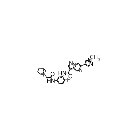 Cn1cc(-c2cn3ncc(C(=O)Nc4cc(NC(=O)CN5CC6CCC5C6)ccc4F)c3cn2)cn1